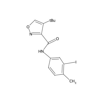 Cc1ccc(NC(=O)c2nocc2C(C)(C)C)cc1I